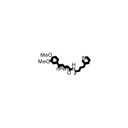 CCCCC/C(=C\C=C\C(=O)N[C@H](C)CCCc1cccnc1)c1ccc(OC)c(OC)c1